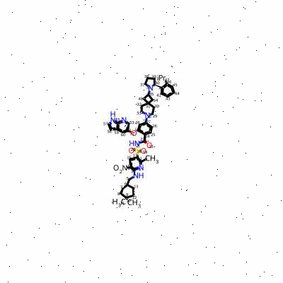 Cc1nc(NCC2CCC(C)(C)CC2)c([N+](=O)[O-])cc1S(=O)(=O)NC(=O)c1ccc(N2CCC3(CC2)CC(N2CCC[C@H]2c2ccccc2C(C)C)C3)cc1Oc1cnc2[nH]ccc2c1